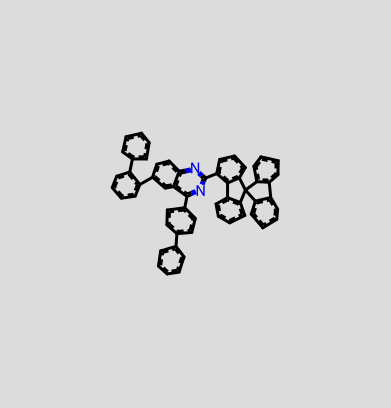 c1ccc(-c2ccc(-c3nc(-c4cccc5c4-c4ccccc4C54c5ccccc5-c5ccccc54)nc4ccc(-c5ccccc5-c5ccccc5)cc34)cc2)cc1